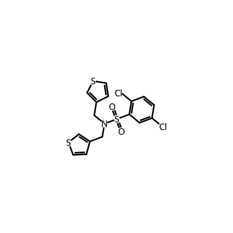 O=S(=O)(c1cc(Cl)ccc1Cl)N(Cc1ccsc1)Cc1ccsc1